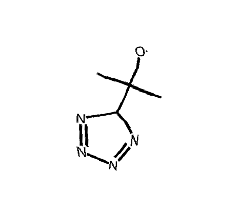 CC(C)([O])C1N=NN=N1